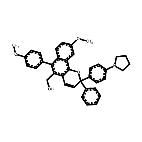 COc1ccc(-c2c(CO)c3c(c4cc(OC)ccc24)OC(c2ccccc2)(c2ccc(N4CCCC4)cc2)C=C3)cc1